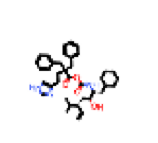 C=C[C@@H](C[C@H](O)[C@H](CC1CCCCC1)NC(=O)OC(=O)C(CCc1c[nH]cn1)(Cc1ccccc1)Cc1ccccc1)C(C)C